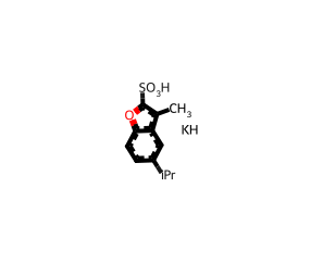 Cc1c(S(=O)(=O)O)oc2ccc(C(C)C)cc12.[KH]